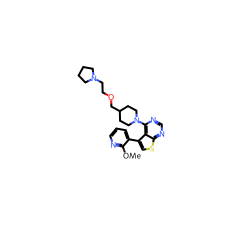 COc1ncccc1-c1csc2ncnc(N3CCC(COCCN4CCCC4)CC3)c12